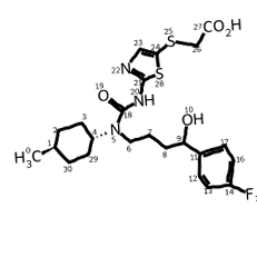 C[C@H]1CC[C@H](N(CCCC(O)c2ccc(F)cc2)C(=O)Nc2ncc(SCC(=O)O)s2)CC1